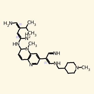 CC(C)C(=C/N)/C=C(\N)NC1C=Cc2ncc(/C(C=N)=C/NCC3CCN(C)CC3)cc2N1C